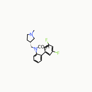 CN1CC[C@@H](CN(C(=O)O)c2ccccc2-c2cc(F)cc(F)c2)C1